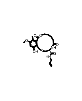 C=CCNC(=S)[C@H]1CSCc2c(O)cc(OC)c(C)c2C(=O)OCCCCC(=O)N1